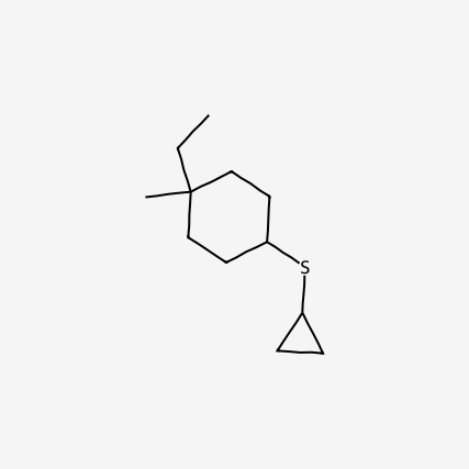 CCC1(C)CCC(SC2CC2)CC1